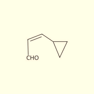 O=C/C=C\C1CC1